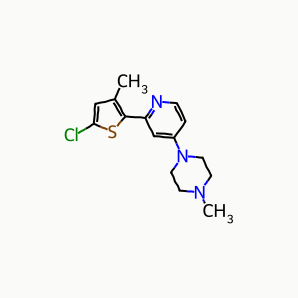 Cc1cc(Cl)sc1-c1cc(N2CCN(C)CC2)ccn1